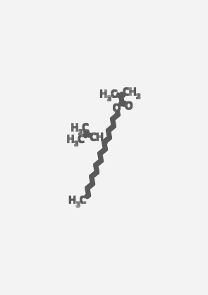 C=C(C)C.C=C(C)C(=O)OCCCCCCCCCCCCCCCC